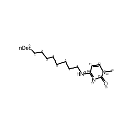 CCCCCCCCCCCCCCCCCCNc1ccn(C)c(=O)n1